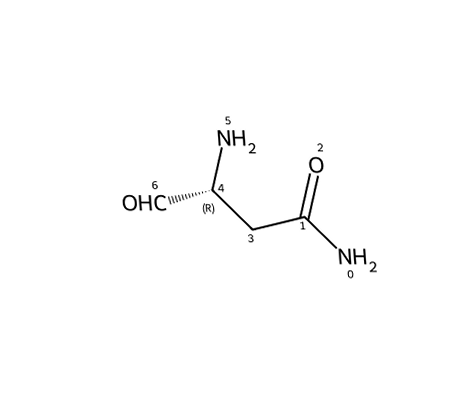 NC(=O)C[C@@H](N)C=O